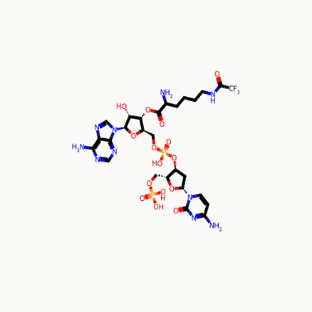 Nc1ccn([C@H]2C[C@H](OP(=O)(O)OC[C@H]3O[C@@H](n4cnc5c(N)ncnc54)[C@H](O)[C@@H]3OC(=O)C(N)CCCCNC(=O)C(F)(F)F)[C@@H](COP(=O)(O)O)O2)c(=O)n1